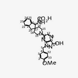 COc1ccc(Cn2nc(O)c3ncc(N4CCC5(CC4)Cc4ccccc4C5NC(=O)O)nc32)cc1